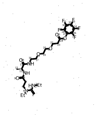 C=C(NCC)N(CC)CCC(=O)N[C@@H](C)C(=O)NCCOCCOCCC(=O)Oc1c(F)c(F)c(F)c(F)c1F